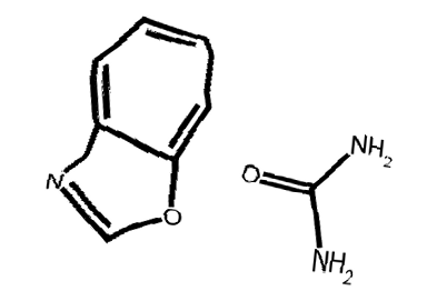 NC(N)=O.c1ccc2ocnc2c1